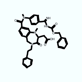 CN(C(=O)c1ccc2c(c1)N(C)C(CC(=O)O)C(=O)N(CCc1ccccc1)C2)c1ccc(C(=N)NC(=O)OCc2ccccc2)cc1